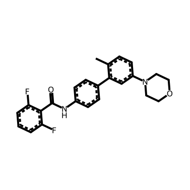 Cc1ccc(N2CCOCC2)cc1-c1ccc(NC(=O)c2c(F)cccc2F)cc1